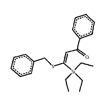 CC[Si](CC)(CC)/C(=C\C(=O)c1ccccc1)SCc1ccccc1